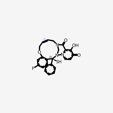 O=C1c2c(O)c(=O)ccn2N2CN1C/C=C\COc1cc(F)ccc1[C@@]2(S)c1ccccc1